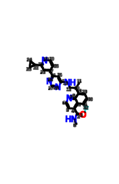 CNC(=O)c1ccnc2c([C@H](C)CNc3cc(-c4ccnc(C5CC5)c4)ncn3)ccc(F)c12